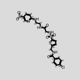 O=C(CNS(=O)(=O)c1ccc(CNC(=O)c2ccc(Cl)cc2)s1)NCCNc1ccc([N+](=O)[O-])cn1